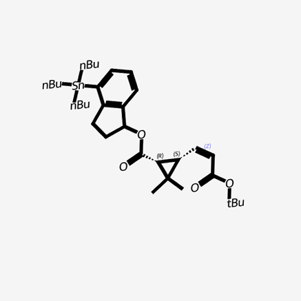 CCC[CH2][Sn]([CH2]CCC)([CH2]CCC)[c]1cccc2c1CCC2OC(=O)[C@@H]1[C@H](/C=C\C(=O)OC(C)(C)C)C1(C)C